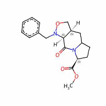 COC(=O)[C@@H]1CCC2C[C@@H]3CON(Cc4ccccc4)[C@@H]3C(=O)N21